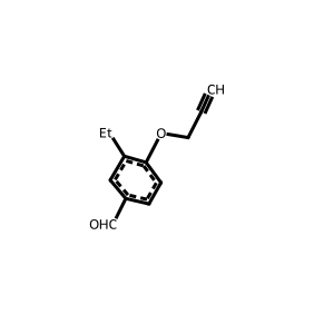 C#CCOc1ccc(C=O)cc1CC